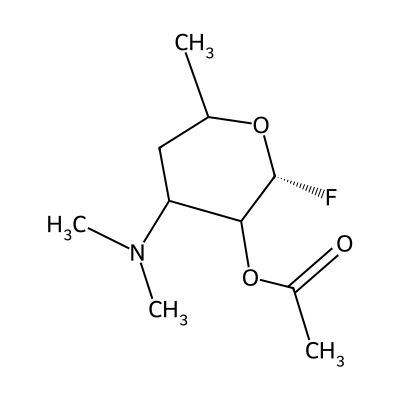 CC(=O)OC1C(N(C)C)CC(C)O[C@@H]1F